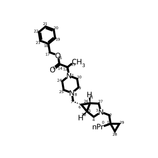 CCCC1(CN2C[C@@H]3[C@H](CN4CCN(C(C)C(=O)OCc5ccccc5)CC4)[C@@H]3C2)CC1